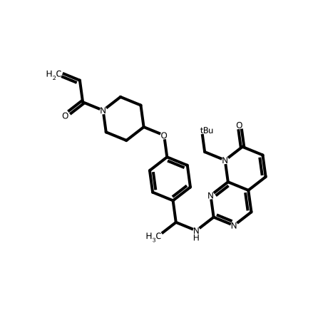 C=CC(=O)N1CCC(Oc2ccc(C(C)Nc3ncc4ccc(=O)n(CC(C)(C)C)c4n3)cc2)CC1